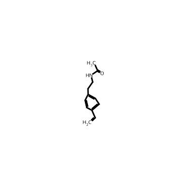 C=Cc1ccc(CCNC(C)=O)cc1